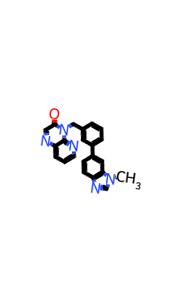 Cn1cnc2ccc(-c3cccc(Cn4c(=O)cnc5cccnc54)c3)cc21